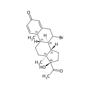 CC(=O)[C@@]1(O)CC[C@H]2[C@@H]3C(Br)CC4=CC(=O)C=C[C@]4(C)[C@H]3CC[C@@]21C